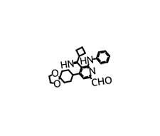 N=C(c1c(C2CCC3(CC2)OCCO3)cc(C=O)nc1Nc1ccccc1)C1CCC1